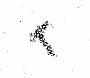 CC(=O)C(=O)N1CCC(N2CCN(C(=O)Oc3ccc4c(c3)OC(C)(C)C3=CCn5c(=O)n(-c6ccc(C(C)=O)cc6)c(=O)n5C34)CC2)CC1.Cl